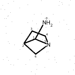 N[C]1C2CCN1C2